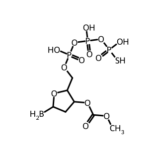 BC1CC(OC(=O)OC)C(COP(=O)(O)OP(=O)(O)OP(=O)(O)S)O1